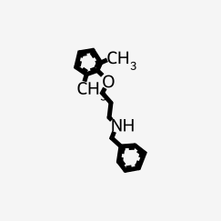 Cc1cccc(C)c1OCCCNCc1ccccc1